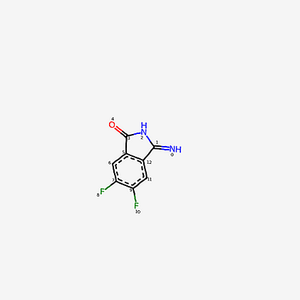 N=C1NC(=O)c2cc(F)c(F)cc21